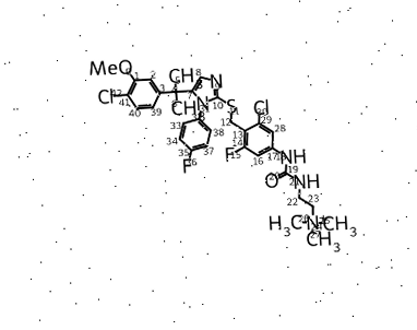 COc1cc(C(C)(C)c2cnc(SCc3c(F)cc(NC(=O)NCC[N+](C)(C)C)cc3Cl)n2-c2ccc(F)cc2)ccc1Cl